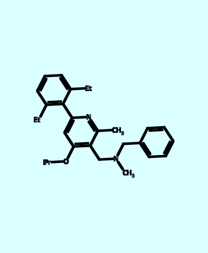 CCc1cccc(CC)c1-c1cc(OC(C)C)c(CN(C)Cc2ccccc2)c(C)n1